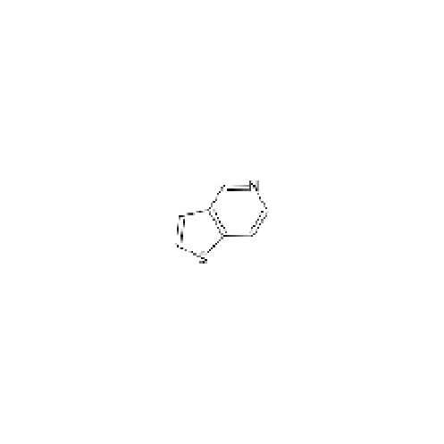 [c]1nccc2sccc12